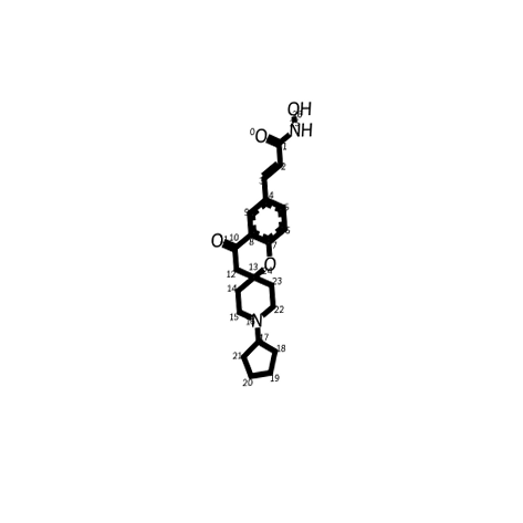 O=C(C=Cc1ccc2c(c1)C(=O)CC1(CCN(C3CCCC3)CC1)O2)NO